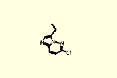 CCc1cnc2ccc(Cl)nn12